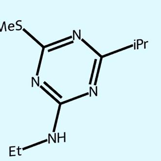 CCNc1nc(SC)nc(C(C)C)n1